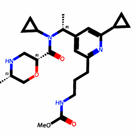 COC(=O)NCCCc1cc([C@@H](C)N(C(=O)[C@H]2CN[C@@H](C)CO2)C2CC2)cc(C2CC2)n1